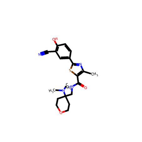 Cc1nc(-c2ccc(O)c(C#N)c2)sc1C(=O)NCC1(N(C)C)CCOCC1